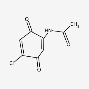 CC(=O)NC1=CC(=O)C(Cl)=CC1=O